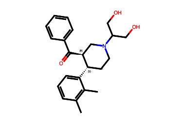 Cc1cccc([C@H]2[CH]CN(C(CO)CO)C[C@@H]2C(=O)c2ccccc2)c1C